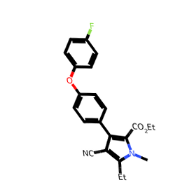 CCOC(=O)c1c(-c2ccc(Oc3ccc(F)cc3)cc2)c(C#N)c(CC)n1C